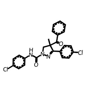 CC1(C(=O)c2ccccc2)CN(C(=O)Nc2ccc(Cl)cc2)N=C1c1ccc(Cl)cc1